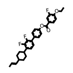 C/C=C/C1CCC(c2ccc(-c3ccc(OC(=O)c4ccc(OCC)c(F)c4)cc3)c(F)c2F)CC1